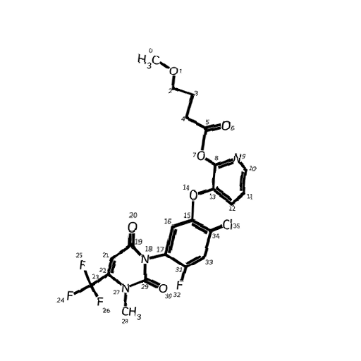 COCCCC(=O)Oc1ncccc1Oc1cc(-n2c(=O)cc(C(F)(F)F)n(C)c2=O)c(F)cc1Cl